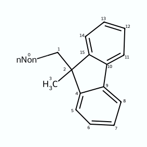 CCCCCCCCCCC1(C)c2ccccc2-c2ccccc21